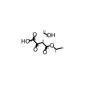 CCOC(=O)CC(=O)C(=O)O.CO